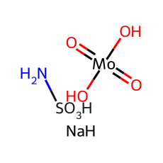 NS(=O)(=O)O.[NaH].[O]=[Mo](=[O])([OH])[OH]